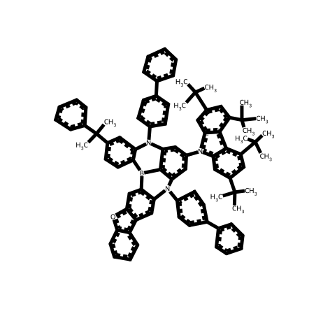 CC(C)(C)c1cc(C(C)(C)C)c2c3c(C(C)(C)C)cc(C(C)(C)C)cc3n(-c3cc4c5c(c3)N(c3ccc(-c6ccccc6)cc3)c3cc6c(cc3B5c3ccc(C(C)(C)c5ccccc5)cc3N4c3ccc(-c4ccccc4)cc3)oc3ccccc36)c2c1